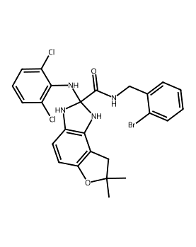 CC1(C)Cc2c(ccc3c2NC(Nc2c(Cl)cccc2Cl)(C(=O)NCc2ccccc2Br)N3)O1